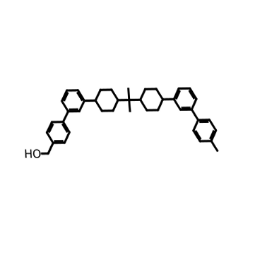 Cc1ccc(-c2cccc(C3CCC(C(C)(C)C4CCC(c5cccc(-c6ccc(CO)cc6)c5)CC4)CC3)c2)cc1